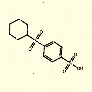 O=S(=O)(O)c1ccc(S(=O)(=O)C2CCCCC2)cc1